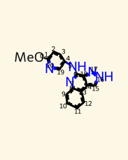 COc1ccc(Nc2nc3ccccc3c3c[nH]nc23)cn1